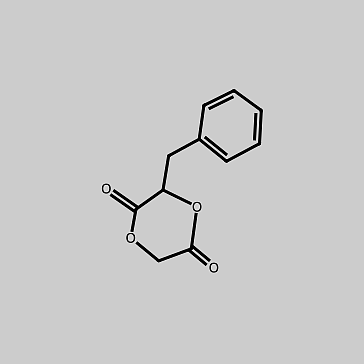 O=C1COC(=O)C(Cc2ccccc2)O1